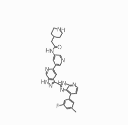 Cc1cc(F)cc(-c2ccnc3[nH]c(-c4n[nH]c5cnc(-c6cncc(NC(=O)CC7CCNCC7)c6)cc45)nc23)c1